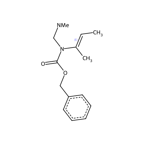 C/C=C(\C)N(CNC)C(=O)OCc1ccccc1